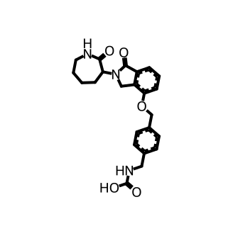 O=C(O)NCc1ccc(COc2cccc3c2CN(C2CCCCNC2=O)C3=O)cc1